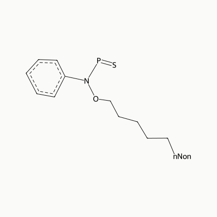 CCCCCCCCCCCCCCON(P=S)c1ccccc1